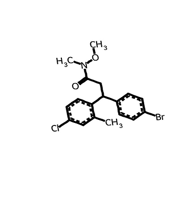 CON(C)C(=O)CC(c1ccc(Br)cc1)c1ccc(Cl)cc1C